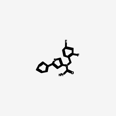 CCCC(=O)N(Cc1ccc(F)cc1F)c1csc(-c2ccccc2)c1